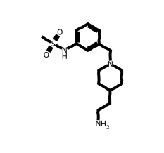 CS(=O)(=O)Nc1cccc(CN2CCC(CCN)CC2)c1